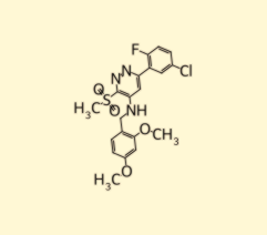 COc1ccc(CNc2cc(-c3cc(Cl)ccc3F)nnc2S(C)(=O)=O)c(OC)c1